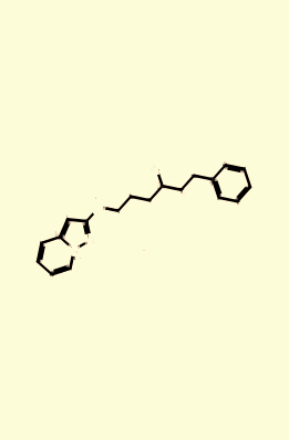 Cl.NC(CCCOc1cc2ccccn2n1)CCc1ccccc1